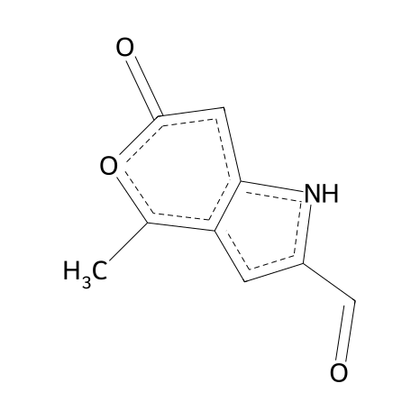 Cc1oc(=O)cc2[nH]c(C=O)cc12